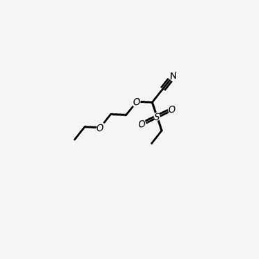 CCOCCOC(C#N)S(=O)(=O)CC